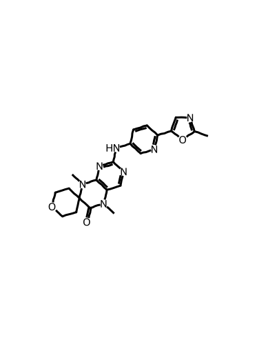 Cc1ncc(-c2ccc(Nc3ncc4c(n3)N(C)C3(CCOCC3)C(=O)N4C)cn2)o1